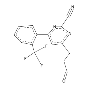 N#Cc1nc(CCC=O)cc(-c2ccccc2C(F)(F)F)n1